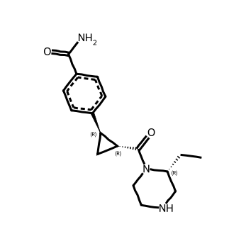 CC[C@@H]1CNCCN1C(=O)[C@@H]1C[C@H]1c1ccc(C(N)=O)cc1